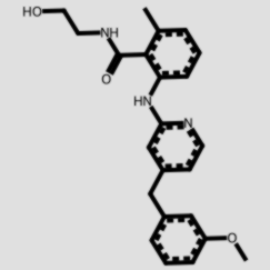 COc1cccc(Cc2ccnc(Nc3cccc(C)c3C(=O)NCCO)c2)c1